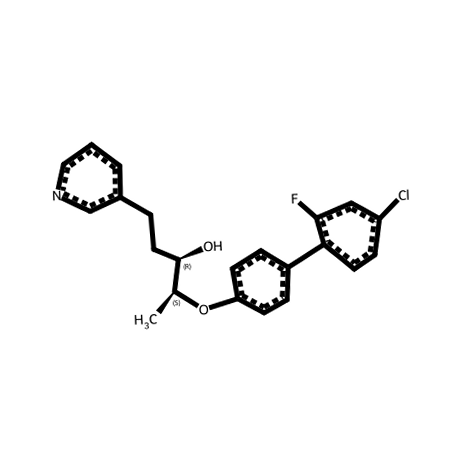 C[C@H](Oc1ccc(-c2ccc(Cl)cc2F)cc1)[C@H](O)CCc1cccnc1